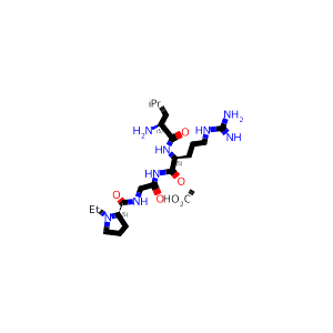 CC(=O)O.CCN1CCC[C@H]1C(=O)NCC(=O)NC(=O)[C@H](CCCNC(=N)N)NC(=O)[C@@H](N)CC(C)C